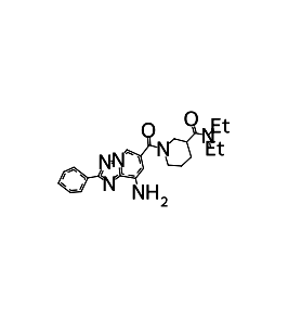 CCN(CC)C(=O)C1CCCN(C(=O)c2cc(N)c3nc(-c4ccccc4)nn3c2)C1